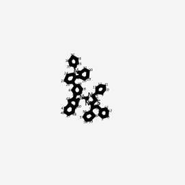 c1ccc(-c2sc3c(-c4ccccc4)nc(-n4c5ccc(-c6cccc7c6c6ccccc6n7-c6ccccc6)cc5c5cc6ccccc6cc54)nc3c2-c2ccccc2)cc1